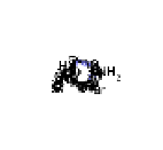 CO[C@H]1/C=C\C=C(/C)C(=O)NC2=CC(=O)C(NC(=O)c3ccccc3)=C(C[C@@H](C)C[C@H](OC)[C@H](OC(=O)CBr)[C@@H](C)/C=C(\C)[C@@H]1OC(N)=O)C2=O